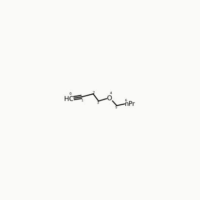 C#CCCOCCCC